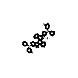 CC1(C)c2cc(N(c3ccccc3)c3cccc(F)c3)ccc2-c2c1c1ccccc1c1c3[nH]c4cc(N(c5ccccc5)c5cccc(F)c5)ccc4c3c3ccccc3c21